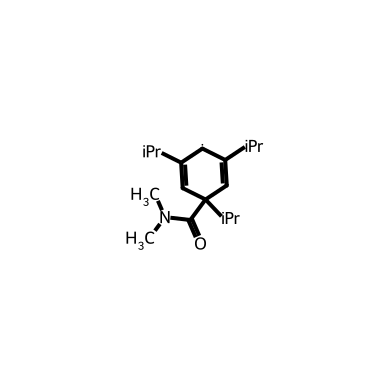 CC(C)C1=CC(C(=O)N(C)C)(C(C)C)C=C(C(C)C)[CH]1